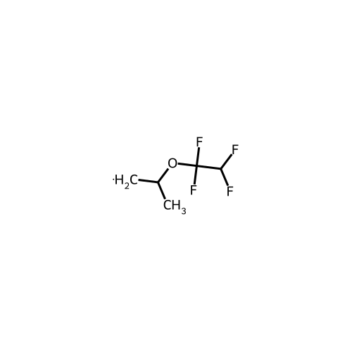 [CH2]C(C)OC(F)(F)C(F)F